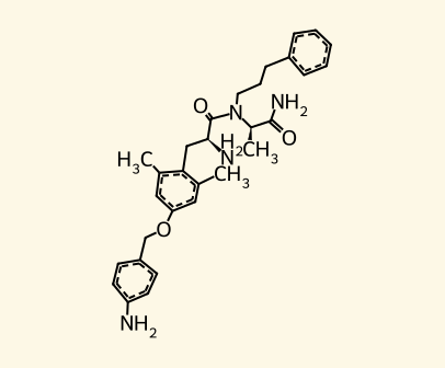 Cc1cc(OCc2ccc(N)cc2)cc(C)c1C[C@H](N)C(=O)N(CCCc1ccccc1)[C@H](C)C(N)=O